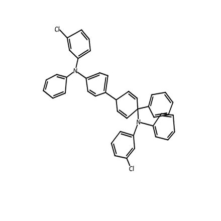 Clc1cccc(N(c2ccccc2)c2ccc(C3C=CC(c4ccccc4)(N(c4ccccc4)c4cccc(Cl)c4)C=C3)cc2)c1